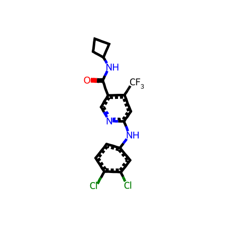 O=C(NC1CCC1)c1cnc(Nc2ccc(Cl)c(Cl)c2)cc1C(F)(F)F